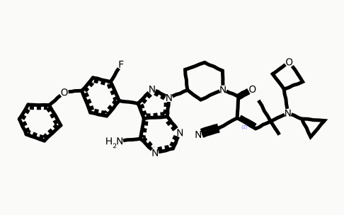 CC(C)(/C=C(/C#N)C(=O)N1CCCC(n2nc(-c3ccc(Oc4ccccc4)cc3F)c3c(N)ncnc32)C1)N(C1CC1)C1COC1